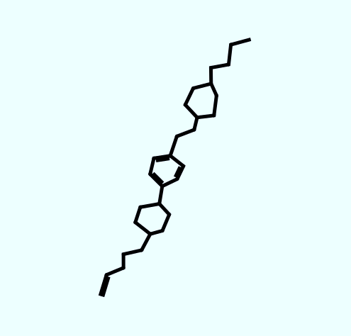 C=CCCCC1CCC(c2ccc(CCC3CCC(CCCC)CC3)cc2)CC1